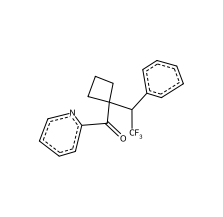 O=C(c1ccccn1)C1(C(c2ccccc2)C(F)(F)F)CCC1